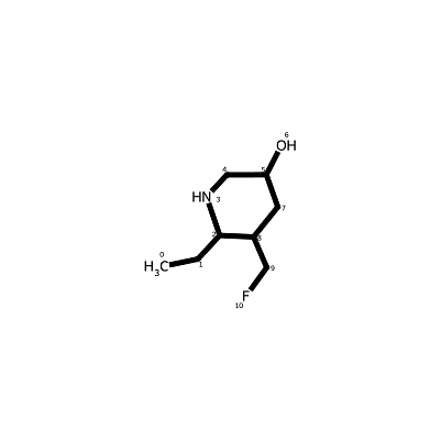 CCC1NCC(O)CC1CF